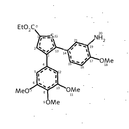 CCOC(=O)c1cc(-c2cc(OC)c(OC)c(OC)c2)c(-c2ccc(OC)c(N)c2)s1